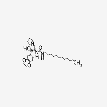 CCCCCCCCCCCCNC(=O)N[C@H](CN1CCCC1)[C@H](O)c1ccc2c(c1)OCCO2